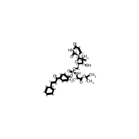 CC(C)OC(=O)[C@H](C)NP(=O)(OC[C@H]1O[C@@H](n2ccc(=O)[nH]c2=O)[C@](C)(F)[C@@H]1O)Oc1ccc(C(=O)C=Cc2ccccc2)cc1